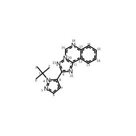 CC(C)(C)n1nccc1-c1nc2c3ccccc3ncn2n1